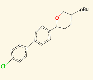 CCCCC1CCC(c2ccc(-c3ccc(Cl)cc3)cc2)OC1